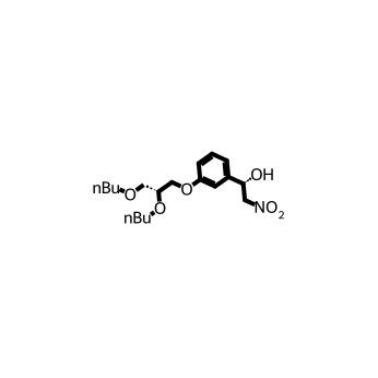 CCCCOC[C@H](COc1cccc([C@H](O)C[N+](=O)[O-])c1)OCCCC